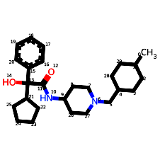 CC1CCC(CN2CCC(NC(=O)C(O)(c3ccccc3)C3CCCC3)CC2)CC1